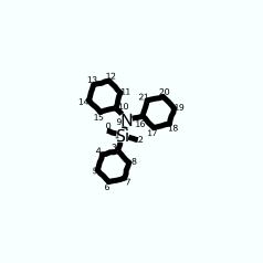 C[Si](C)(C1CCCCC1)N(C1CCCCC1)C1CCCCC1